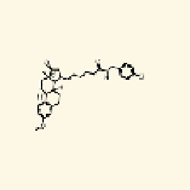 COc1ccc2c(c1)CC[C@H]1[C@@H]3[C@H](CCCCCC(=O)NCc4ccc(Cl)cc4)CC(=O)[C@@]3(C)CC[C@H]21